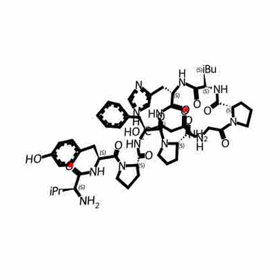 CC[C@H](C)[C@H](NC(=O)[C@@H]1CCCN1C(=O)CNC(=O)[C@@H]1CCCN1C(=O)[C@H](Cc1ccccc1)NC(=O)[C@@H]1CCCN1C(=O)[C@H](Cc1ccc(O)cc1)NC(=O)[C@@H](N)C(C)C)C(=O)N[C@@H](Cc1c[nH]cn1)C(=O)N[C@@H](CC(N)=O)C(=O)O